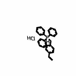 C=Cc1ccc(C[PH](c2ccccc2)(c2ccccc2)c2ccccc2)cc1.Cl